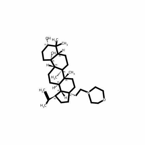 C=C(C)[C@@H]1CC[C@]2(CCN3CCOCC3)CC[C@]3(C)[C@H](CC[C@@H]4[C@@]5(C)CC[C@H](O)C(C)(C)[C@@H]5CC[C@]43C)[C@@H]12